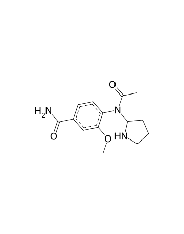 COc1cc(C(N)=O)ccc1N(C(C)=O)C1CCCN1